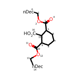 CCCCCCCCCCCOC(=O)C1CCCC(C(=O)OCCCCCCCCCCC)C1C(=O)O